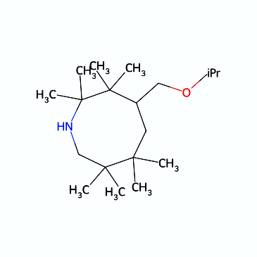 CC(C)OCC1CC(C)(C)C(C)(C)CNC(C)(C)C1(C)C